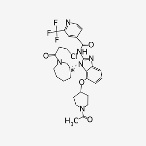 CC(=O)N1CCC(Oc2cccc3nc(NC(=O)c4ccnc(C(F)(F)F)c4)n([C@@H]4CCCCN(C(=O)CCCl)C4)c23)CC1